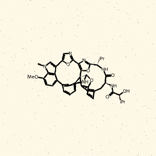 COc1ccc2c3c(cn(C)c13)-c1cnc(o1)-c1nc3oc1[C@]14c5cc(ccc5OC1Nc1c-2cccc14)C[C@H](NC(=O)[C@@H](O)C(C)C)C(=O)N[C@H]3C(C)C